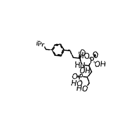 CC(C)Cc1ccc(CCC(=O)NC(CC(CO)P(=O)(O)O)P(=O)(O)O)cc1